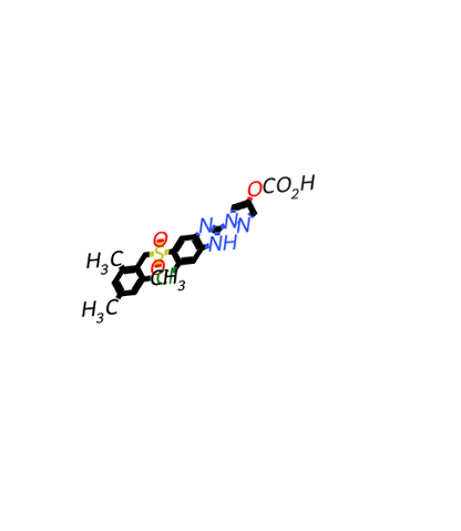 Cc1cc(C)c(CS(=O)(=O)c2cc3nc(-n4cc(OC(=O)O)cn4)[nH]c3cc2Cl)c(C)c1